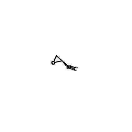 [C-]#[N+][C@@H]1CO1